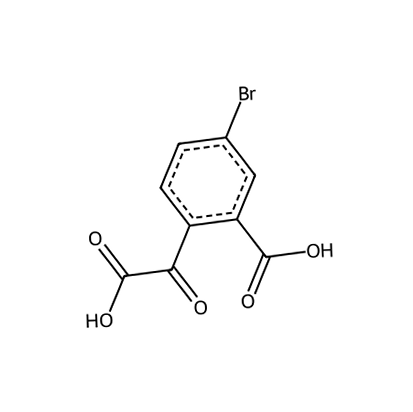 O=C(O)C(=O)c1ccc(Br)cc1C(=O)O